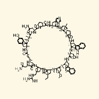 CCCC[C@H]1C(=O)N[C@@H](CCCNC(=N)N)C(=O)N[C@H](C(=O)NCC(N)=O)CSCC(=O)N[C@@H](Cc2ccc(O)cc2)C(=O)N(C)[C@@H](C)C(=O)N[C@@H](CC(N)=O)C(=O)N2CCCC2C(=O)N[C@@H](Cc2cnc[nH]2)C(=O)N[C@@H](CC(C)C)C(=O)N2CCC[C@@H]2C(=O)N[C@@H](Cc2c[nH]c3ccccc23)C(=O)N[C@@H](CO)C(=O)N[C@@H](Cc2csc3ccccc23)C(=O)N(C)[C@@H](CCOC)C(=O)N1C